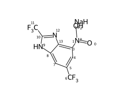 O=[N+](O)c1cc(C(F)(F)F)cc2[nH]c(C(F)(F)F)nc12.[NaH]